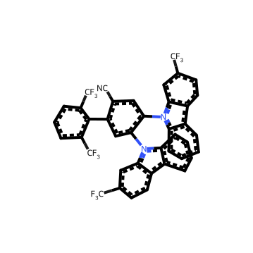 N#Cc1cc(-n2c3ccccc3c3ccc(C(F)(F)F)cc32)c(-n2c3ccccc3c3ccc(C(F)(F)F)cc32)cc1-c1c(C(F)(F)F)cccc1C(F)(F)F